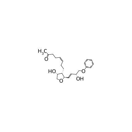 CC(=O)CC/C=C\CC[C@H]1[C@@H](O)CO[C@@H]1/C=C/[C@@H](O)COc1ccccc1